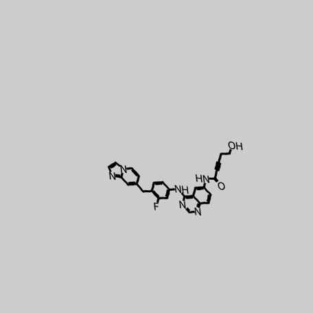 O=C(C#CCCO)Nc1ccc2ncnc(Nc3ccc(Cc4ccn5ccnc5c4)c(F)c3)c2c1